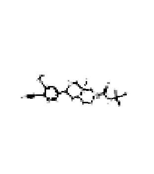 COc1cc(C2CN3CCN(C(=O)OC(C)(C)C)C[C@@H]3CO2)ccc1C#N